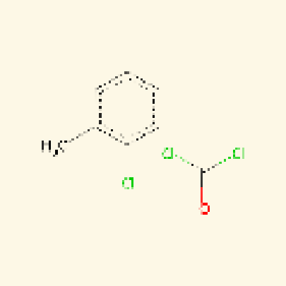 Cc1ccccc1Cl.O=C(Cl)Cl